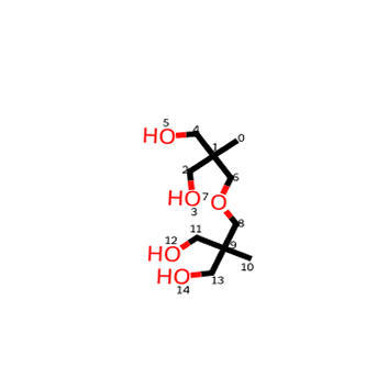 CC(CO)(CO)COCC(C)(CO)CO